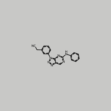 N#CCc1cccc(-n2nnc3cnc(Nc4ccccc4)nc32)c1